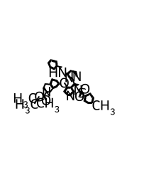 Cc1ccc(S(=O)(=O)n2cc(-c3nccc(NCc4ccccc4)n3)c3c(Oc4ccc5c(c4)CN(C(=O)OC(C)(C)C)CC5)ccnc32)cc1